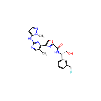 Cc1cnc(Nc2ccnn2C)nc1-c1coc(C(=O)N[C@H](CO)c2cccc(CF)c2)n1